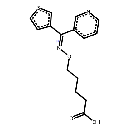 O=C(O)CCCCO/N=C(\c1cccnc1)c1ccsc1